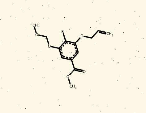 C=CCOc1cc(C(=O)OC)cc(OCOC)c1Br